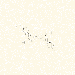 CC1CN(c2ccc(C(C)(C)C)nc2)CC(CCC2CN(c3ccc(C(C)(C)C)cn3)CC(C)O2)O1